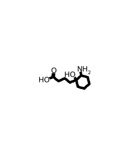 NC1CCCCC1(O)CCCC(=O)O